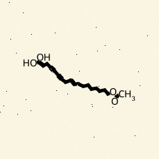 CC(=O)OCCCCCCCCC=CCC#CC#CCC=C(O)O